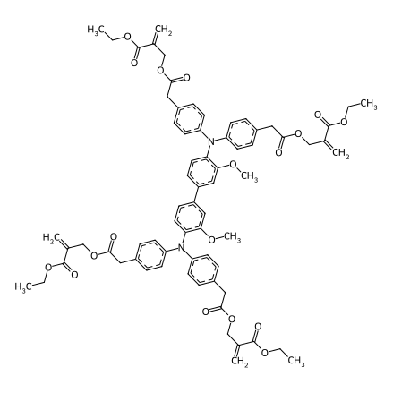 C=C(COC(=O)Cc1ccc(N(c2ccc(CC(=O)OCC(=C)C(=O)OCC)cc2)c2ccc(-c3ccc(N(c4ccc(CC(=O)OCC(=C)C(=O)OCC)cc4)c4ccc(CC(=O)OCC(=C)C(=O)OCC)cc4)c(OC)c3)cc2OC)cc1)C(=O)OCC